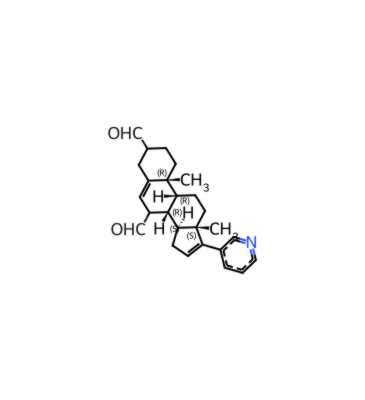 C[C@]12CCC(C=O)CC1=CC(C=O)[C@@H]1[C@H]2CC[C@]2(C)C(c3cccnc3)=CC[C@@H]12